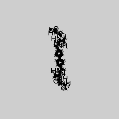 COC(=O)N[C@@H](C)C(=O)N[C@H](c1ncc(-c2ccc(-c3ccc(-c4cnc([C@@H](NC(=O)[C@H](C)NC5OCO5)C(C)C)[nH]4)cc3)cc2)[nH]1)C(C)C